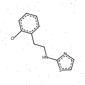 Clc1ccc[c]c1CCNc1nccs1